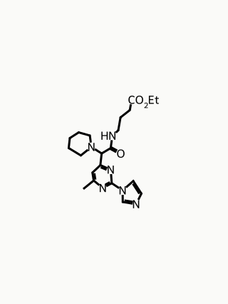 CCOC(=O)CCCNC(=O)C(c1cc(C)nc(-n2ccnc2)n1)N1CCCCC1